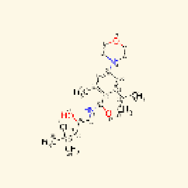 Cc1cc(N2CCOCC2)cc(C(C)C)c1C(=O)NCC(O)CC(C)(C)C